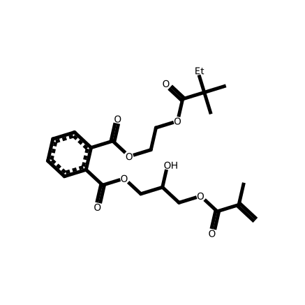 C=C(C)C(=O)OCC(O)COC(=O)c1ccccc1C(=O)OCCOC(=O)C(C)(C)CC